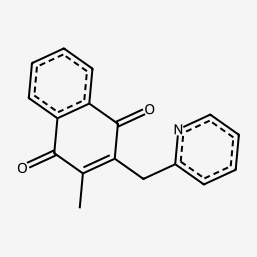 CC1=C(Cc2ccccn2)C(=O)c2ccccc2C1=O